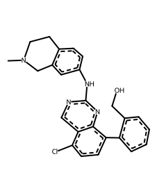 CN1CCc2ccc(Nc3ncc4c(Cl)ccc(-c5ccccc5CO)c4n3)cc2C1